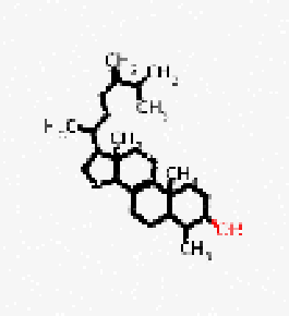 C=C(CCC(C)C1CCC2C3=C(CCC21C)C1(C)CCC(O)C(C)C1CC3)C(C)C